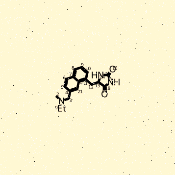 CCN(C)Cc1ccc2cccc(CC3NC(=O)NC3=O)c2c1